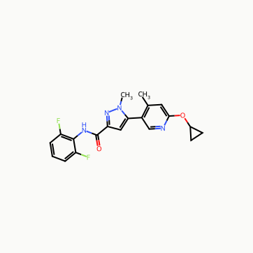 Cc1cc(OC2CC2)ncc1-c1cc(C(=O)Nc2c(F)cccc2F)nn1C